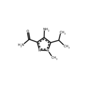 CC(C)c1c(N)c(C(N)=O)nn1C